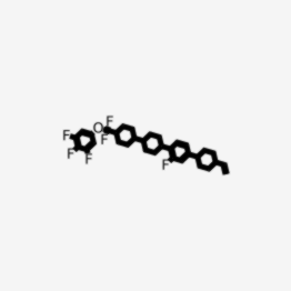 C=CC1CCC(c2ccc(C3CCC(C4CCC(C(F)(F)Oc5cc(F)c(F)c(F)c5)CC4)CC3)c(F)c2)CC1